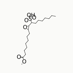 CCCCCCCC(C1OC1CCCCCCCC(=O)OC)S(=O)(=O)O